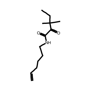 C=CCCCCNC(=O)C(=O)C(C)(C)CC